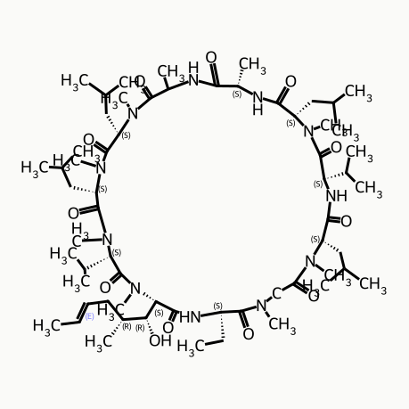 C/C=C/C[C@@H](C)[C@@H](O)[C@H]1C(=O)N[C@@H](CC)C(=O)N(C)CC(=O)N(C)[C@@H](CC(C)C)C(=O)N[C@@H](C(C)C)C(=O)N(C)[C@@H](CC(C)C)C(=O)N[C@@H](C)C(=O)NC(C)C(=O)N(C)[C@@H](CC(C)C)C(=O)N(C)[C@@H](CC(C)C)C(=O)N(C)[C@@H](C(C)C)C(=O)N1C